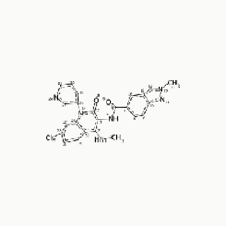 CNc1c(NC(=O)c2ccc3nn(C)cc3c2)c(=O)n(-c2cccnc2)c2cc(Cl)ccc12